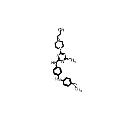 COc1ccc(Nc2ccc(Nc3nc(C)nc(N4CCN(CCO)CC4)n3)cc2)cc1